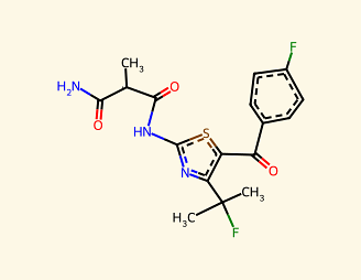 C[C](C(N)=O)C(=O)Nc1nc(C(C)(C)F)c(C(=O)c2ccc(F)cc2)s1